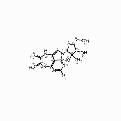 [3H]c1nc2c3c(cn([C@@H]4O[C@H](CO)[C@@H](O)C4(C)O)c3n1)NC(=C)C(=C)N2